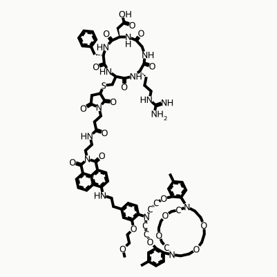 COCCOc1cc(CCNc2ccc3c4c(cccc24)C(=O)N(CCNC(=O)CCN2C(=O)CC(SCC4NC(=O)[C@H](Cc5ccccc5)NC(=O)[C@@H](CC(=O)O)NC(=O)CNC(=O)[C@H](CCCNC(=N)N)NC4=O)C2=O)C3=O)ccc1N1CCOc2cc(C)ccc2N2CCOCCOCCN(CCOCCOCC2)c2ccc(C)cc2OCC1